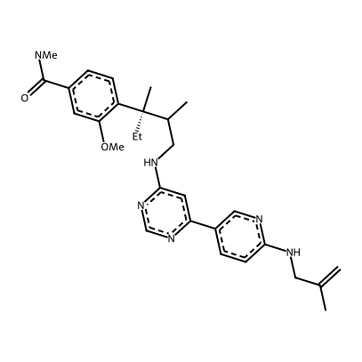 C=C(C)CNc1ccc(-c2cc(NCC(C)[C@@](C)(CC)c3ccc(C(=O)NC)cc3OC)ncn2)cn1